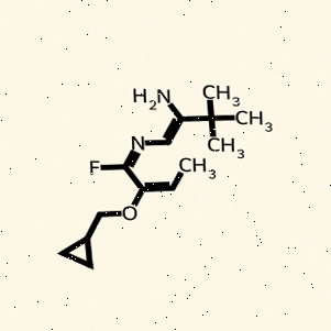 C\C=C(OCC1CC1)/C(F)=N\C=C(/N)C(C)(C)C